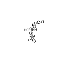 Cl.O=C(Nc1ccc(Oc2ccc(Cl)cc2)nn1)c1ccc(CN2C(=O)C3C4CCC(O4)C3C2=O)nc1